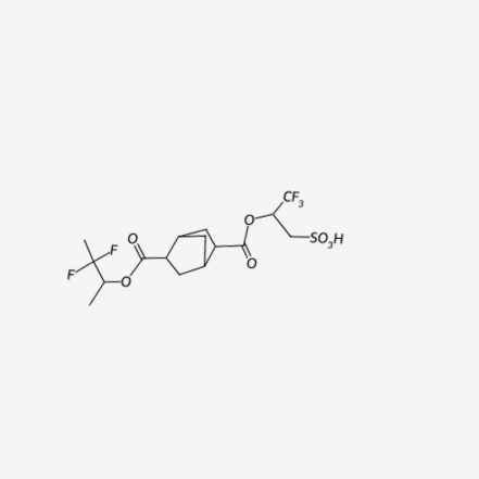 CC(OC(=O)C1CC2CC1CC2C(=O)OC(CS(=O)(=O)O)C(F)(F)F)C(C)(F)F